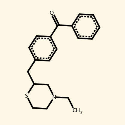 CCN1CCSC(Cc2ccc(C(=O)c3ccccc3)cc2)C1